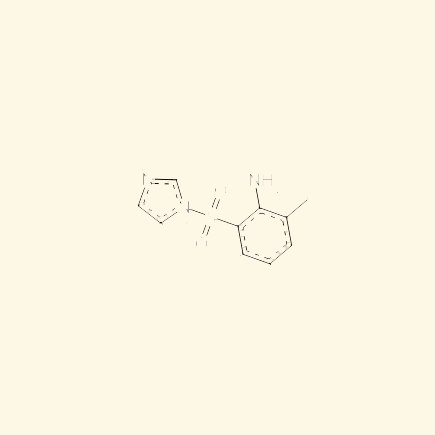 Cc1cccc(S(=O)(=O)n2ccnc2)c1N